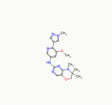 COc1cc(Nc2ncc3c(n2)N(C)C(C)(C)CO3)cnc1-c1cnn(C)c1